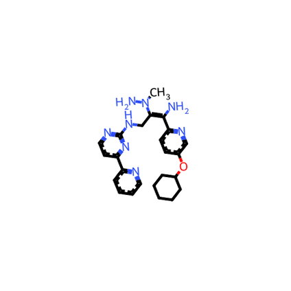 CN(N)/C(CNc1nccc(-c2ccccn2)n1)=C(\N)c1ccc(OC2CCCCC2)cn1